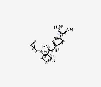 N=C/C(=C\N)c1ccc(NC(=N)C2=C(NCC3CC3)CCNC2)cn1